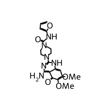 COc1cc2[nH]c(N3CCN(C(=O)Nc4ccco4)CC3)nc(N)c-2c(=O)c1OC